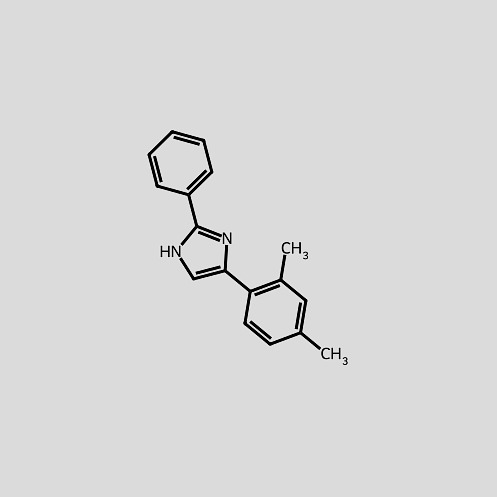 Cc1ccc(-c2c[nH]c(-c3ccccc3)n2)c(C)c1